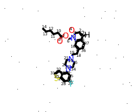 [2H]c1cc(=O)n(COC(=O)CCCCC)c2cc(CCN3CCN(c4cc(F)cc5sccc45)CC3)ccc12